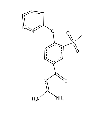 CS(=O)(=O)c1cc(C(=O)N=C(N)N)ccc1Oc1cccnn1